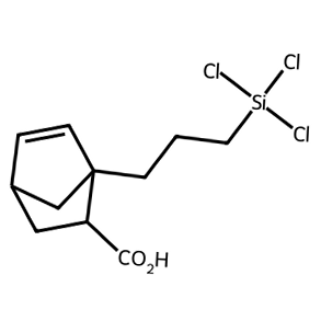 O=C(O)C1CC2C=CC1(CCC[Si](Cl)(Cl)Cl)C2